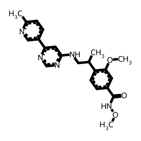 CONC(=O)c1ccc(C(C)CNc2cc(-c3ccc(C)nc3)ncn2)c(OC)c1